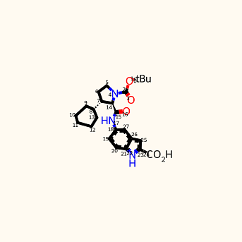 CC(C)(C)OC(=O)N1CC[C@@H](C2CCCCC2)[C@@H]1C(=O)Nc1ccc2[nH]c(C(=O)O)cc2c1